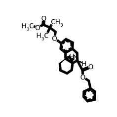 COC(=O)C(C)(C)COc1ccc2c(c1)[C@@]13CCCC[C@H]1[C@@H](C2)N(C(=O)OCc1ccccc1)CC3